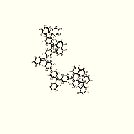 c1ccc(N(c2ccc(-c3ccc(N(c4ccccc4)c4ccc(N(c5ccc6c(c5)C5(CCCCC5)c5ccccc5-6)c5cccc6ccccc56)cc4)cc3)cc2)c2ccc(N(c3ccc4c(c3)C3(CCCCC3)c3ccccc3-4)c3cccc4ccccc34)cc2)cc1